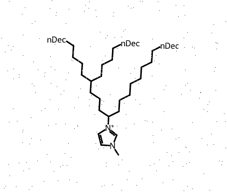 CCCCCCCCCCCCCCCCCCC(CCCC(CCCCCCCCCCCCCC)CCCCCCCCCCCCCC)[n+]1ccn(C)c1